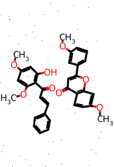 COc1cc(O)c(C(=O)C=Cc2ccccc2)c(OC)c1.COc1cccc(-c2cc(=O)c3ccc(OC)cc3o2)c1